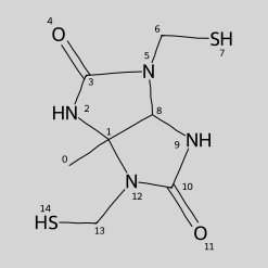 CC12NC(=O)N(CS)C1NC(=O)N2CS